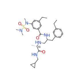 CCc1cccc(CC(CN[C@@H](C)C(=O)NCC2CC2)NC(=O)c2cc(CC)cc(N(C)S(=O)(=O)N(C)C)c2)c1